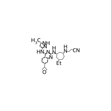 CCC1CCC(NCCC#N)CC(Nc2nc(Nc3cc(C)[nH]n3)c3ccc(C4COC4)cc3n2)C1